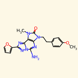 COc1ccc(CCn2c(=O)n(C)c3c2nc(N)n2nc(-c4ccco4)nc32)cc1